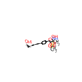 CC(CCc1ccc(C#CC#C[C@@H]2C[C@@H]2CO)cc1)(C(=O)NO)S(C)(=O)=O